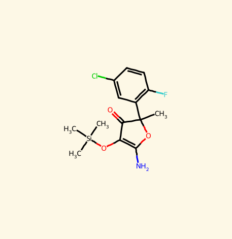 CC1(c2cc(Cl)ccc2F)OC(N)=C(O[Si](C)(C)C)C1=O